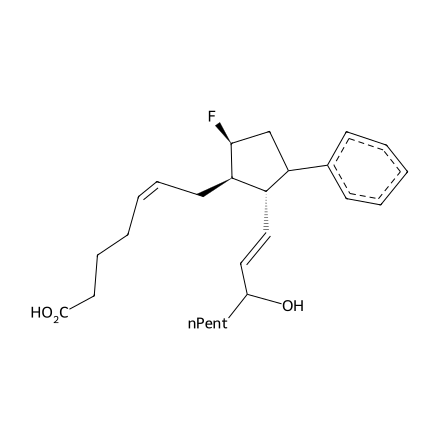 CCCCCC(O)/C=C/[C@H]1C(c2ccccc2)C[C@H](F)[C@@H]1C/C=C\CCCC(=O)O